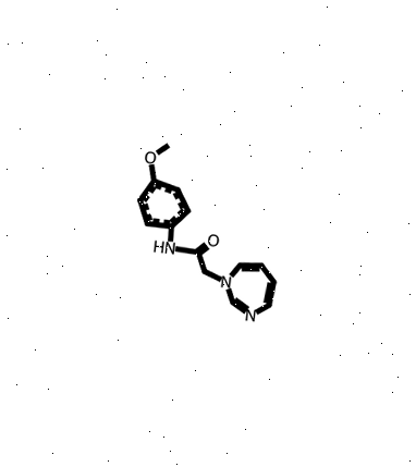 COc1ccc(NC(=O)CN2C=CC=CN=C2)cc1